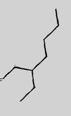 CCCCC([CH]F)CC